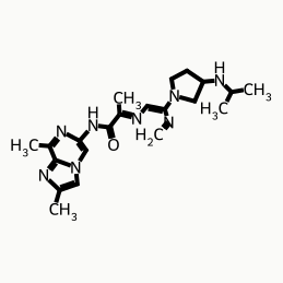 C=N/C(=C\N=C(/C)C(=O)Nc1cn2cc(C)nc2c(C)n1)N1CCC(NC(C)C)C1